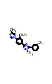 COc1cc(-c2nc(-c3cccc(C(F)(F)F)c3)n(C)n2)ccc1-n1cnc(C)c1